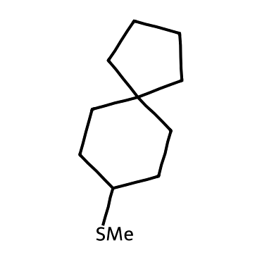 CSC1CCC2(CCCC2)CC1